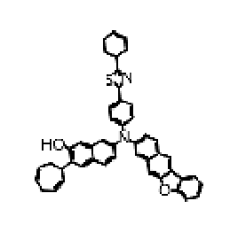 Oc1cc2cc(N(c3ccc(C4N=C(C5CC=CCC5)S4)cc3)c3ccc4cc5c(cc4c3)oc3ccccc35)ccc2cc1C1C=CCC=CC1